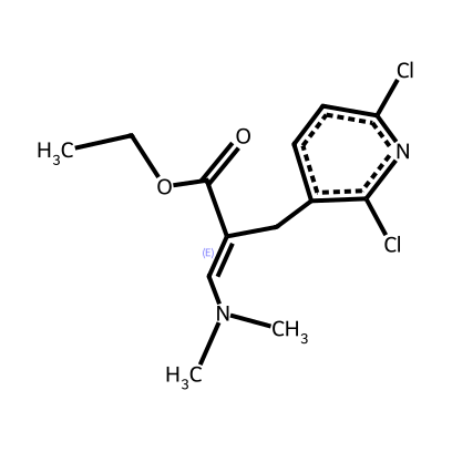 CCOC(=O)/C(=C/N(C)C)Cc1ccc(Cl)nc1Cl